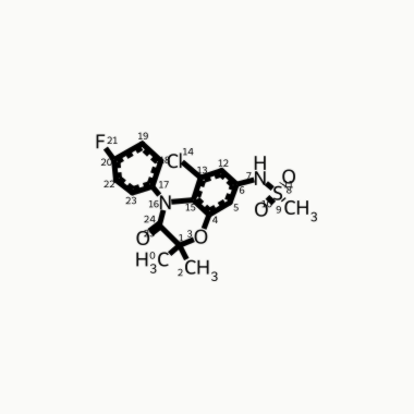 CC1(C)Oc2cc(NS(C)(=O)=O)cc(Cl)c2N(c2ccc(F)cc2)C1=O